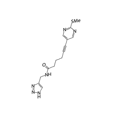 CSc1ncc(C#CCCCC(=O)NCc2c[nH]nn2)cn1